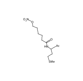 CSCCC(NC(=O)CCCCCO[N+](=O)[O-])C(C)=O